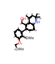 COCOc1cccc(-c2ccc3c(c2CO)C(C)=CC(C)(C)N3)c1OC